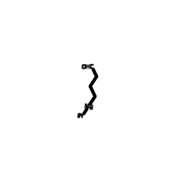 C[CH](C)[Mg][CH2]CCC=O